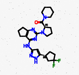 O=C([C@H]1CCCN1c1nc2c(c(Nc3cc([C@@H]4CCC(F)(F)C4)[nH]n3)n1)CCC2)N1CCCCC1